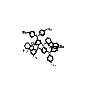 CC(C)(C)c1ccc(N(c2ccc(C(C)(C)C)cc2)c2ccc3c(c2)N(c2cccc4c2sc2ccccc24)c2cc(N(c4ccc(C(C)(C)C)cc4)c4ccc(C(C)(C)C)cc4)cc4c2B3c2cc(C#N)cc3c2N4C2(C)CCCCC32C)cc1